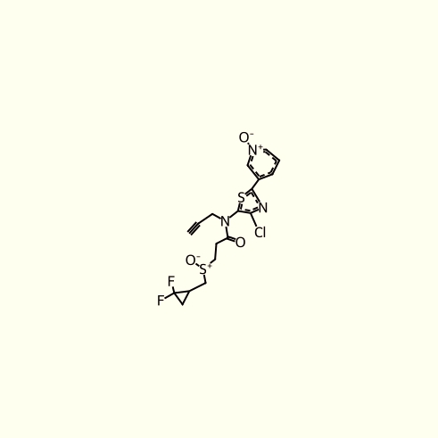 C#CCN(C(=O)CC[S+]([O-])CC1CC1(F)F)c1sc(-c2ccc[n+]([O-])c2)nc1Cl